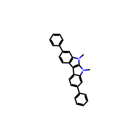 Cn1c2cc(-c3ccccc3)ccc2c2c3ccc(-c4ccccc4)cc3n(C)c21